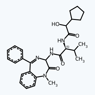 CC(C)[C@H](NC(=O)C(O)C1CCCC1)C(=O)NC1N=C(c2ccccc2)c2ccccc2N(C)C1=O